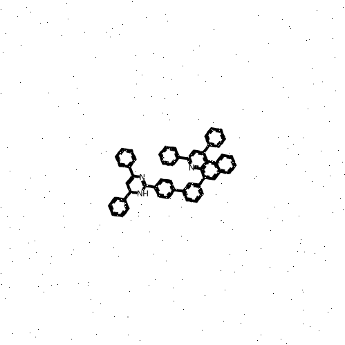 C1=C(c2ccccc2)N=C(c2ccc(-c3cccc(-c4cc5ccccc5c5c(-c6ccccc6)cc(-c6ccccc6)nc45)c3)cc2)NC1c1ccccc1